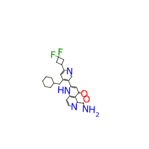 NC(=O)c1nccc2[nH]c(-c3cnc(C4CC(F)(F)C4)cc3CC3CCCCC3)cc(=O)c12